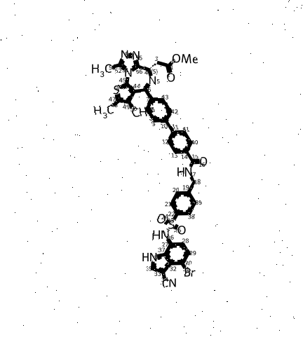 COC(=O)C[C@@H]1N=C(c2ccc(-c3ccc(C(=O)NCc4ccc(S(=O)(=O)Nc5ccc(Br)c6c(C#N)c[nH]c56)cc4)cc3)cc2)c2c(sc(C)c2C)-n2c(C)nnc21